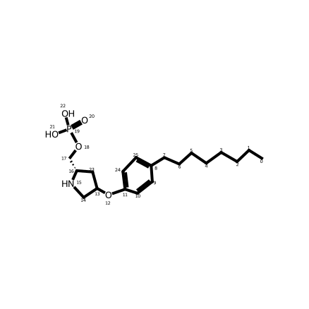 CCCCCCCCc1ccc(OC2CN[C@H](COP(=O)(O)O)C2)cc1